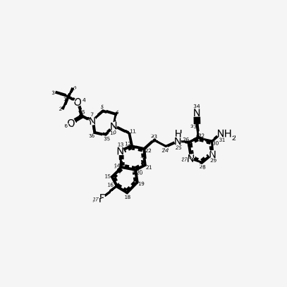 CC(C)(C)OC(=O)N1CCN(Cc2nc3cc(F)ccc3cc2CCNc2ncnc(N)c2C#N)CC1